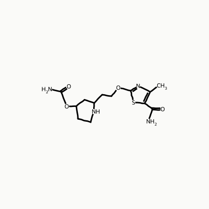 Cc1nc(OCCC2CC(OC(N)=O)CCN2)sc1C(N)=O